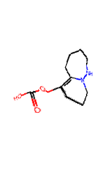 O=C(O)OC1=C2CCCCNN2CCC1